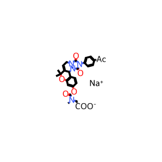 CC(=O)c1ccc(-n2c(=O)n3n(c2=O)C2C(=CC3)C(C)(C)Oc3cc(OC(=O)N(C)CC(=O)[O-])ccc32)cc1.[Na+]